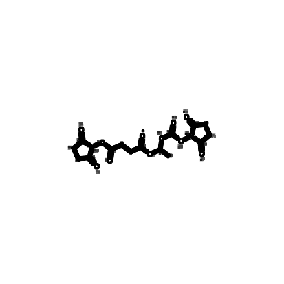 CC(OC(=O)CCC(=O)ON1C(=O)CCC1=O)OC(=O)ON1C(=O)CCC1=O